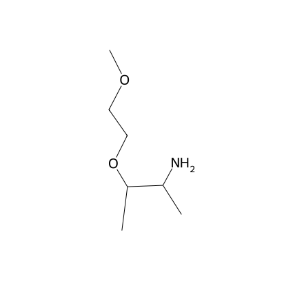 COCCOC(C)C(C)N